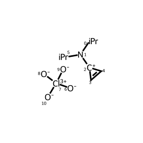 CC(C)N([c+]1cc1)C(C)C.[O-][Cl+3]([O-])([O-])[O-]